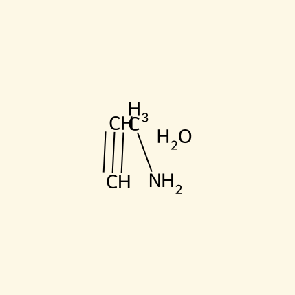 C#C.CN.O